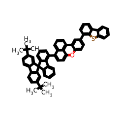 CC(C)(C)c1ccc2c(c1)C1(c3cc(C(C)(C)C)ccc3-2)c2ccccc2-c2c(-c3ccc4c5c(cccc35)-c3cc(-c5cccc6c5sc5ccccc56)ccc3O4)cccc21